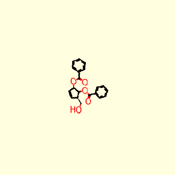 O=C(OC1[C@@H](CO)C=C[C@H]1OC(=O)c1ccccc1)c1ccccc1